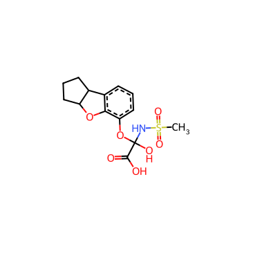 CS(=O)(=O)NC(O)(Oc1cccc2c1OC1CCCC21)C(=O)O